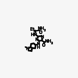 CC[C@@H](Nc1cnc(C(N)=O)c(Nc2ccc3c(ccn3C)c2)n1)C(N)=O